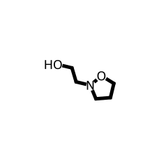 OCCN1CCCO1